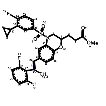 COC(=O)CCC1CN(S(=O)(=O)c2ccc(F)c(C3CC3)c2)c2cc(/C=C(\C)c3c(F)cccc3Cl)ccc2O1